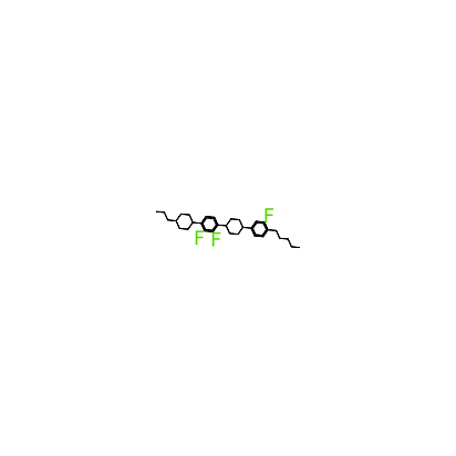 CCCCCc1ccc(C2CCC(c3ccc(C4CCC(CCC)CC4)c(F)c3F)CC2)cc1F